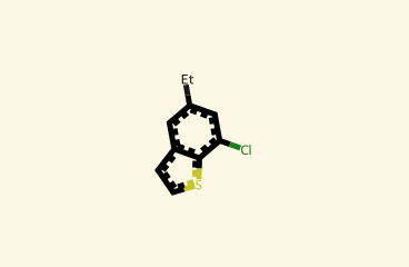 CCc1cc(Cl)c2sccc2c1